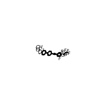 COCOC1CCC(C2CCC(C#Cc3cc(F)c(OC(F)(F)C(F)C(F)(F)F)c(F)c3)CC2)CC1